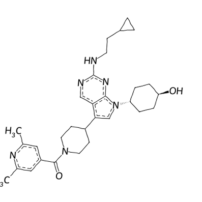 Cc1cc(C(=O)N2CCC(c3cn([C@H]4CC[C@H](O)CC4)c4nc(NCCC5CC5)ncc34)CC2)cc(C)n1